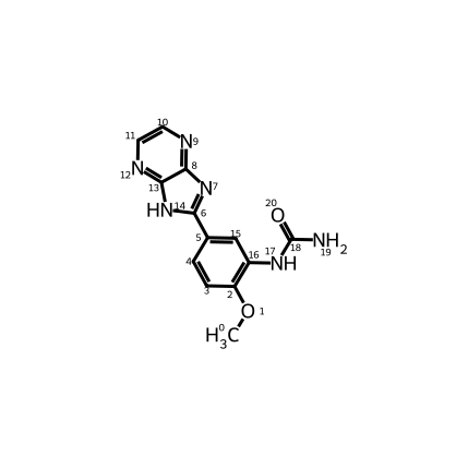 COc1ccc(-c2nc3nccnc3[nH]2)cc1NC(N)=O